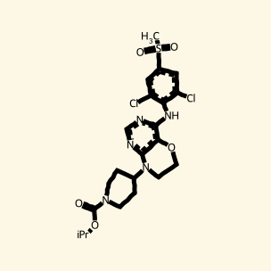 CC(C)OC(=O)N1CCC(N2CCOc3c(Nc4c(Cl)cc(S(C)(=O)=O)cc4Cl)ncnc32)CC1